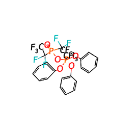 CP(Oc1ccccc1)(Oc1ccccc1)(Oc1ccccc1)OP(=O)(C(F)(F)C(F)(F)F)C(F)(F)C(F)(F)F